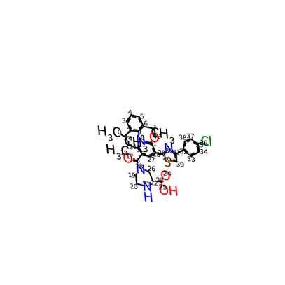 CCc1cccc(CC)c1-n1c(C(C)C)c(C(=O)N2CCN[C@H](C(=O)O)C2)cc(-c2nc(-c3ccc(Cl)cc3)cs2)c1=O